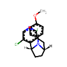 COc1ccc(N2[C@H]3CC[C@@H]2c2c(Cl)cnc(F)c2C3)cc1